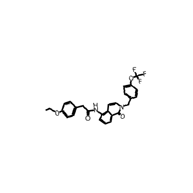 CCOc1ccc(CC(=O)Nc2cccc3c(=O)n(Cc4ccc(OC(F)(F)F)cc4)ccc23)cc1